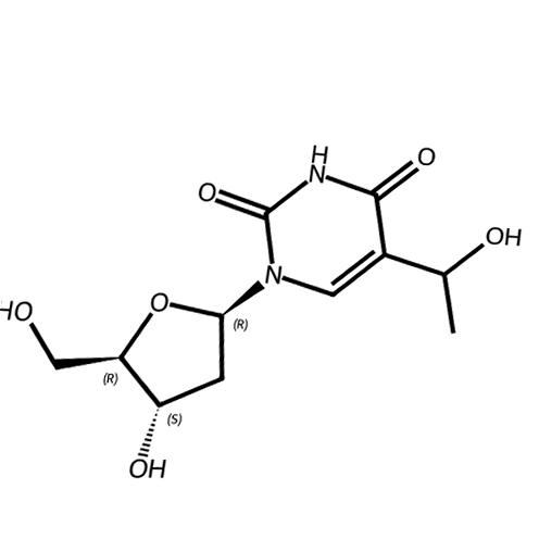 CC(O)c1cn([C@H]2C[C@H](O)[C@@H](CO)O2)c(=O)[nH]c1=O